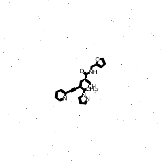 C=C(/C(C#Cc1ccccn1)=C\C(=C/C)C(=O)NCc1ccco1)n1cccn1